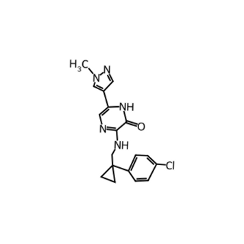 Cn1cc(-c2cnc(NCC3(c4ccc(Cl)cc4)CC3)c(=O)[nH]2)cn1